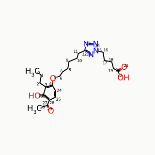 CCCc1c(OCCCCCCc2nnn(CCCCC(=O)O)n2)ccc(C(C)=O)c1O